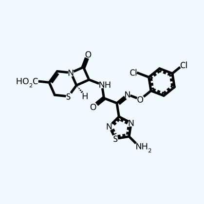 Nc1nc(C(=NOc2ccc(Cl)cc2Cl)C(=O)NC2C(=O)N3C=C(C(=O)O)CS[C@H]23)ns1